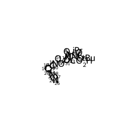 CC(C)[C@H](NC(=O)OC(C)(C)C)C(=O)N1C[C@H](OC(=O)N2Cc3cccc(N4CCN(C)CC4)c3C2)C[C@H]1C(=O)O